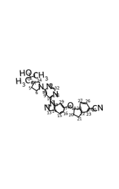 CC(C)(O)[C@H]1CCN(c2cc(-n3ncc4ccc(OC5CCc6cc(C#N)ccc65)cc43)ncn2)C1